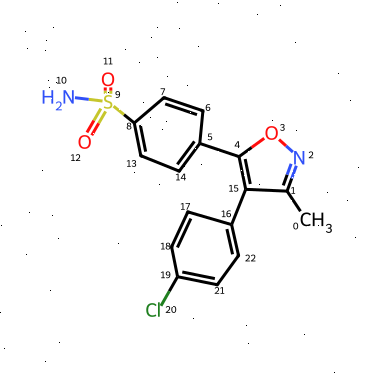 Cc1noc(-c2ccc(S(N)(=O)=O)cc2)c1-c1ccc(Cl)cc1